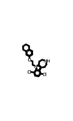 Clc1ccc(Cl)c2c1c1c(n2CCOc2ccc3c(c2)CCCC3)CCNCC1